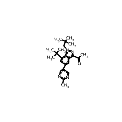 CC(=O)c1nn(CC(C)(C)C)c2c(C(C)(C)C)cc(-c3cnc(C)nc3)cc12